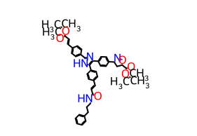 CC(C)(C)OC(=O)C=Cc1ccc(-c2nc(-c3ccc(C4=NOC(C(=O)OC(C)(C)C)C4)cc3)c(-c3ccc(C=CC(=O)NCCCc4ccccc4)cc3)[nH]2)cc1